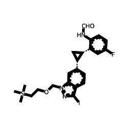 C[Si](C)(C)CCOCn1nc(I)c2ccc([C@@H]3C[C@@H]3c3cc(F)ccc3NC=O)cc21